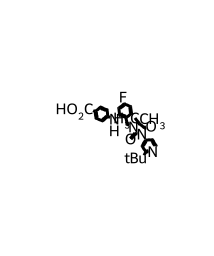 CC(C)(C)c1cc(N2C(=O)N(Cc3ccc(F)cc3Nc3ccc(C(=O)O)cc3)C(C)(C)C2=O)ccn1